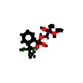 CCP(=O)(COS(=O)(=O)c1ccccc1C(F)(F)C(F)(F)F)OC(C)C